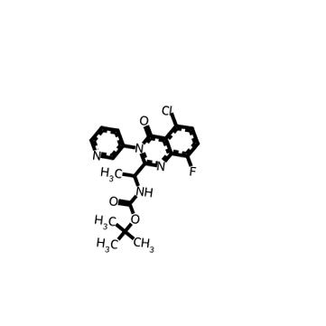 CC(NC(=O)OC(C)(C)C)c1nc2c(F)ccc(Cl)c2c(=O)n1-c1cccnc1